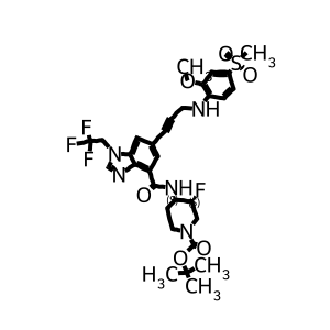 COc1cc(S(C)(=O)=O)ccc1NCC#Cc1cc(C(=O)N[C@H]2CCN(C(=O)OC(C)(C)C)C[C@@H]2F)c2ncn(CC(F)(F)F)c2c1